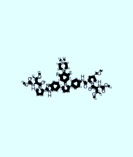 COC[C@H]1C[C@@H](C(=O)Nc2ccc([C@H]3CC[C@H](c4ccc5nc([C@@H]6CCCN6C(=O)[C@@H](NC(=O)OC)[C@@H](C)OC)[nH]c5c4)N3c3cc(F)c(N4CC[Si](C)(C)CC4)c(F)c3)cc2)N(C(=O)[C@@H](NC(=O)OC)[C@@H](C)OC)C1